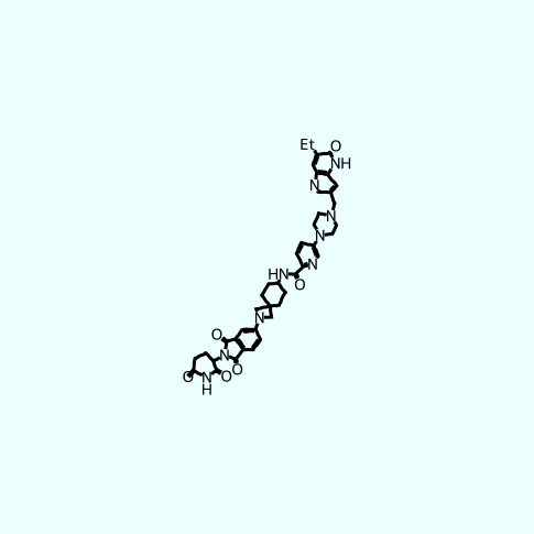 CCc1cc2ncc(CN3CCN(c4ccc(C(=O)NC5CCC6(CC5)CN(c5ccc7c(c5)C(=O)N(C5CCC(=O)NC5=O)C7=O)C6)nc4)CC3)cc2[nH]c1=O